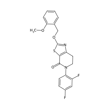 COc1ccccc1COc1nc2c(s1)C(=O)N(c1ccc(F)cc1F)CC2